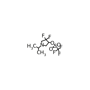 CC(C)N1CC(OS(=O)(=O)C(F)(F)F)C(F)(F)C1